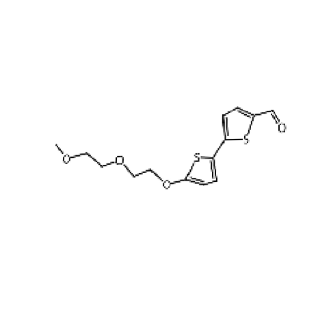 COCCOCCOc1ccc(-c2ccc(C=O)s2)s1